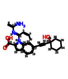 C=C(N)/N=C(\C=C/C)n1c(C(=O)O)cc2ccc(C#CC3(O)CCCCC3)cc21